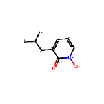 CC(C)Cc1cccn(O)c1=O